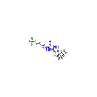 CC(F)(F)CCCCCNC(=N)NC(=N)NCC12C3C4C5C3C1C5C42